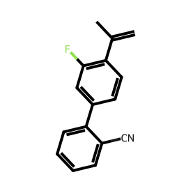 C=C(C)c1ccc(-c2ccccc2C#N)cc1F